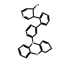 N#CC1C=CN=CC1c1ccccc1-c1cccc(N2C3=C(CCC=C3)Oc3ccccc32)c1